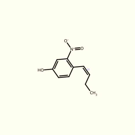 CC/C=C\c1ccc(O)cc1[N+](=O)[O-]